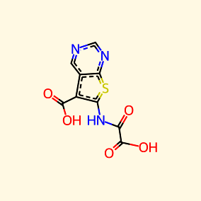 O=C(O)C(=O)Nc1sc2ncncc2c1C(=O)O